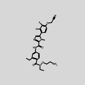 CCc1cc(NC(=O)c2ncc(-c3ccc(OCC#N)c(F)c3F)n2C)ccc1C(=O)N(CC)OCCN